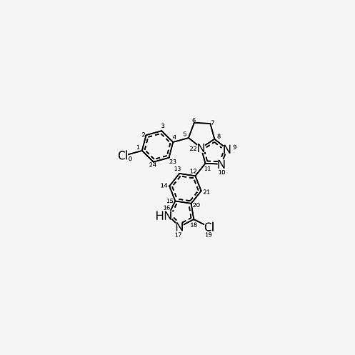 Clc1ccc(C2CCc3nnc(-c4ccc5[nH]nc(Cl)c5c4)n32)cc1